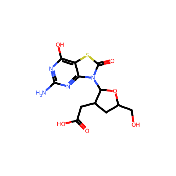 Nc1nc(O)c2sc(=O)n(C3OC(CO)CC3CC(=O)O)c2n1